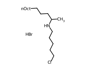 Br.CCCCCCCCCCCC(C)NCCCCCCl